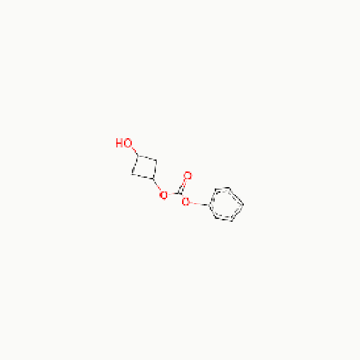 O=C(Oc1ccccc1)OC1CC(O)C1